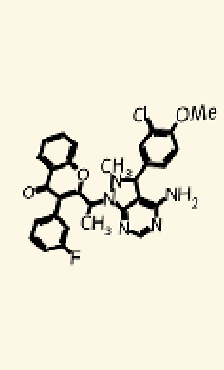 COc1ccc(C2c3c(N)ncnc3N(C(C)c3oc4ccccc4c(=O)c3-c3cccc(F)c3)N2C)cc1Cl